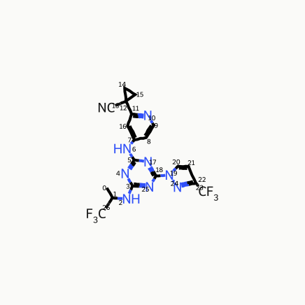 CC(Nc1nc(Nc2ccnc(C3(C#N)CC3)c2)nc(-n2ccc(C(F)(F)F)n2)n1)C(F)(F)F